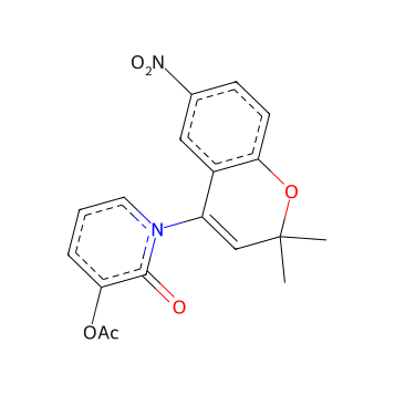 CC(=O)Oc1cccn(C2=CC(C)(C)Oc3ccc([N+](=O)[O-])cc32)c1=O